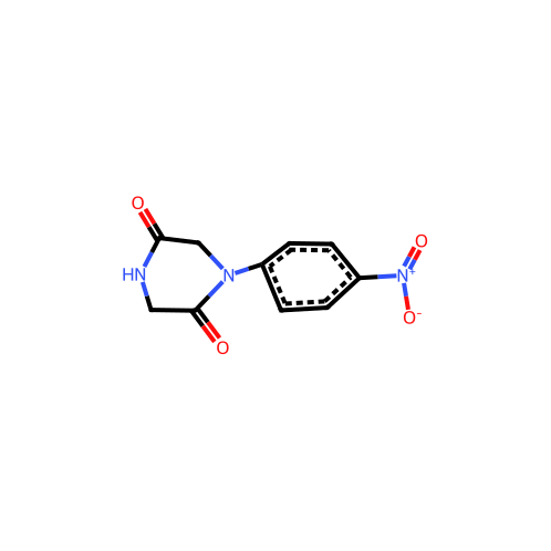 O=C1CN(c2ccc([N+](=O)[O-])cc2)C(=O)CN1